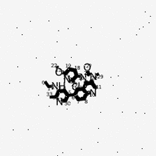 CCNc1cc(-c2ccc3ncc4c(c3c2)n(-c2ccc(OC)nc2Cl)c(=O)n4C)cnc1C